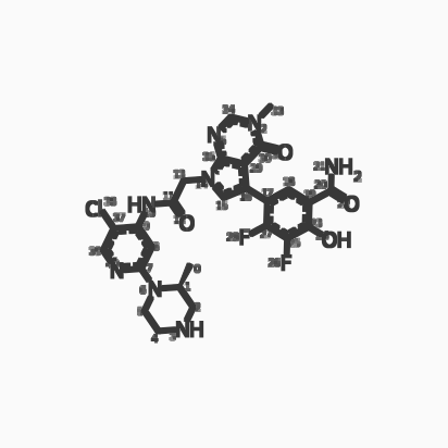 C[C@H]1CNCCN1c1cc(NC(=O)Cn2cc(-c3cc(C(N)=O)c(O)c(F)c3F)c3c(=O)n(C)cnc32)c(Cl)cn1